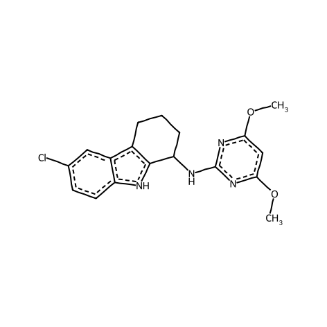 COc1cc(OC)nc(NC2CCCc3c2[nH]c2ccc(Cl)cc32)n1